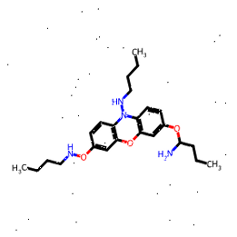 CCCCNOc1ccc2c(c1)Oc1cc(OC(N)CCC)ccc1N2NCCCC